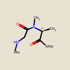 CCCCNCC(=O)N(C)[C@@H](C)C(=O)NC